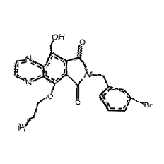 CC(C)CCOc1c2c(c(O)c3nccnc13)C(=O)N(Cc1cccc(Br)c1)C2=O